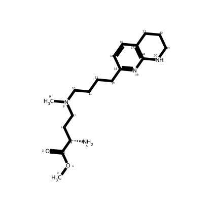 COC(=O)[C@@H](N)CCN(C)CCCCc1ccc2c(n1)NCCC2